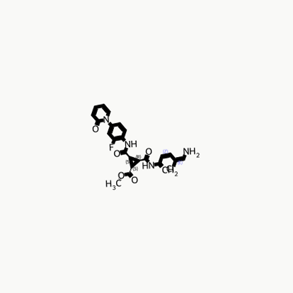 C=C(/C=C\C(Cl)=C/N)NC(=O)[C@@H]1[C@H](C(=O)Nc2ccc(-n3ccccc3=O)cc2F)[C@H]1C(=O)OC